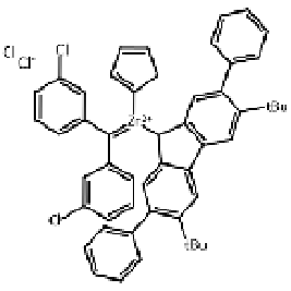 CC(C)(C)c1cc2c(cc1-c1ccccc1)[CH]([Zr+2]([C]1=CC=CC1)=[C](c1cccc(Cl)c1)c1cccc(Cl)c1)c1cc(-c3ccccc3)c(C(C)(C)C)cc1-2.[Cl-].[Cl-]